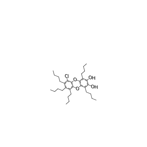 CCCCc1c(Cl)c2c(c(CCCC)c1CCCC)Oc1c(CCCC)c(O)c(O)c(CCCC)c1O2